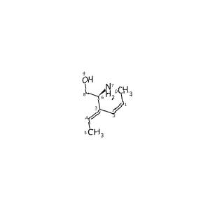 C/C=C\C(=C/C)[C@H](N)CO